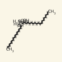 CCCCCCCC/C=C\CCCCCCCCC(O)C([P-]C(=O)CCCCCCCCCCCCCCC)[N+](C)(C)C